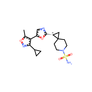 Cc1onc(C2CC2)c1-c1cnc([C@@H]2CC23CCN(S(N)(=O)=O)CC3)o1